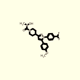 COc1ccc(-c2cc(C3CCN(C(=O)N(C)O)CC3)nn2-c2ccc(C(F)F)cc2)cc1